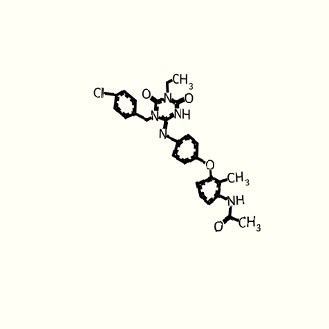 CCn1c(=O)[nH]/c(=N\c2ccc(Oc3cccc(NC(C)=O)c3C)cc2)n(Cc2ccc(Cl)cc2)c1=O